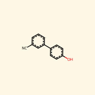 N#Cc1cc[c]c(-c2ccc(O)cc2)c1